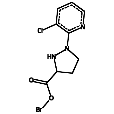 O=C(OBr)C1CCN(c2ncccc2Cl)N1